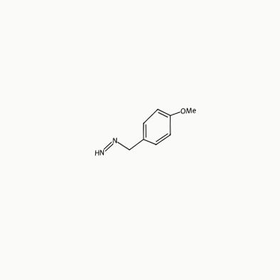 COc1ccc(CN=N)cc1